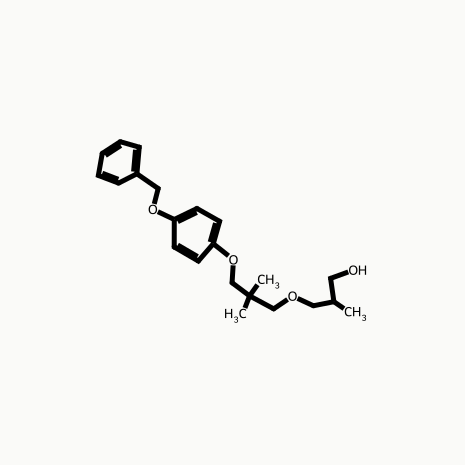 CC(CO)COCC(C)(C)COc1ccc(OCc2ccccc2)cc1